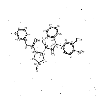 CC(C)c1ccc([C@@H](NC(=O)[C@@H]2C[C@@H](F)CN2C(=O)Cc2cccnn2)c2ccccc2)cc1F